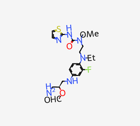 CCN(CCN(OC)C(=O)Nc1nccs1)c1ccc(NC[C@H](CN)OC=O)cc1F